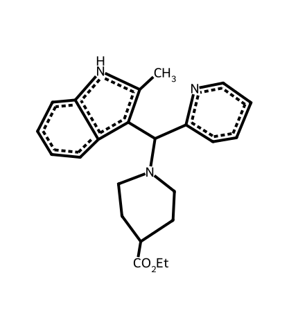 CCOC(=O)C1CCN(C(c2ccccn2)c2c(C)[nH]c3ccccc23)CC1